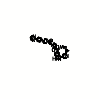 CO[C@@]1(C(=O)N(C)c2ccc3[nH]nc(-c4ccnc(C5CC5)c4)c3c2)CCN(CC(=O)N2CCN(c3ccc(-c4ncccn4)cc3)CC2)C1